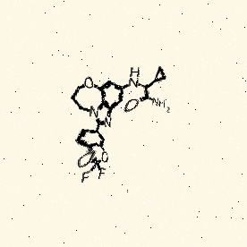 NC(=O)[C@@H](Nc1cc2c3c(c1)nc(-c1ccc4c(c1)OC(F)(F)O4)n3CCCO2)C1CC1